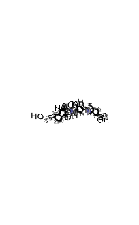 O=C(O)c1cc(/N=N/c2cc(S(=O)O)ccc2S(=O)(=O)O)ccc1/N=N/c1c(S(=O)(=O)O)cc2cc(S(=O)(=O)O)ccc2c1O